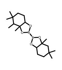 CC1C(C)(C)CCC2OB(B3OC4CCC(C)(C)CC4(C)O3)OC21C